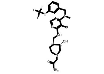 CN(Cc1cccc(OC(F)(F)F)c1)c1ncnc(NC[C@@H]2CCN(CC(N)=O)C[C@H]2O)c1F